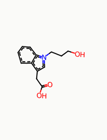 O=C(O)Cc1cn(CCCO)c2ccccc12